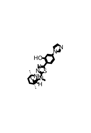 CN(c1nnc(-c2ccc(-n3ccnc3)cc2O)s1)[C@H]1C[C@@]2(C)CC[C@]1(C)CN2